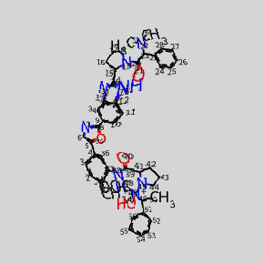 Cc1ccc(-c2cnc(-c3ccc4[nH]c(C5CCCN5C(=O)C(c5ccccc5)N(C)C)nc4c3)o2)cc1NC(=O)C1CCCN1[N+](O)(C(=O)[O-])C(C)c1ccccc1